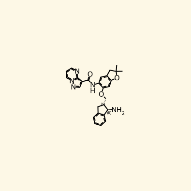 CC1(C)Cc2cc(NC(=O)c3cnn4cccnc34)c(OC[C@H]3Cc4ccccc4[C@@H]3N)cc2O1